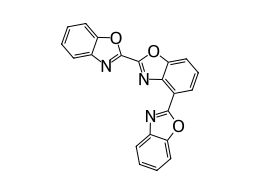 c1ccc2oc(-c3nc4c(-c5nc6ccccc6o5)cccc4o3)nc2c1